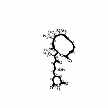 CO[C@H]1/C=C/CC/C=C/C(=O)O[C@H]([C@H](C)C(=O)C[C@H](O)CC2CC(=O)NC(=O)C2)/C(C)=C\[C@@H](C)[C@@H]1O